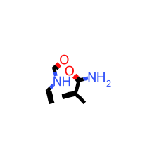 C=C(C)C(N)=O.C=CNC=O